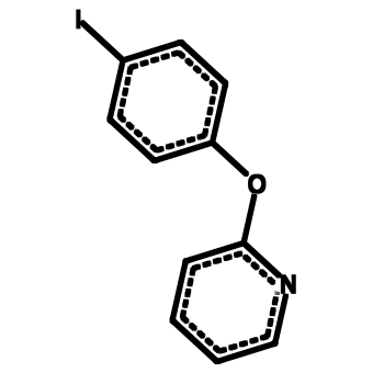 Ic1ccc(Oc2ccccn2)cc1